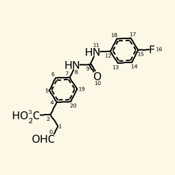 O=CCC(C(=O)O)c1ccc(NC(=O)Nc2ccc(F)cc2)cc1